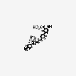 CCOc1ccc(-c2ccc(CCCc3nn(-c4ccc(CI)cc4)c(=O)n3CC(C)C)cc2)cc1CC(=O)O